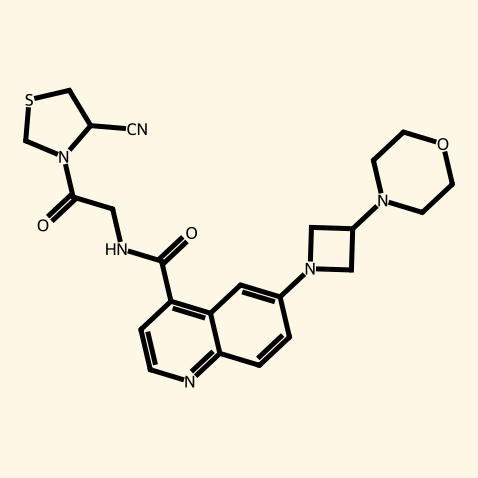 N#CC1CSCN1C(=O)CNC(=O)c1ccnc2ccc(N3CC(N4CCOCC4)C3)cc12